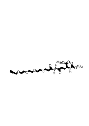 C#CCOCCOCCOCCOCCC(=O)NNC(=O)CC[C@H](NC(=O)OC(C)(C)C)C(=O)OC